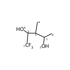 CC(O)C(C)C(O)C(F)(F)F